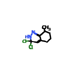 CC1CCCC2=CC(Cl)(Cl)NN=C21